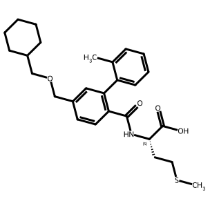 CSCC[C@H](NC(=O)c1ccc(COCC2CCCCC2)cc1-c1ccccc1C)C(=O)O